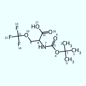 CC(C)(C)OC(=O)NC(COC(F)(F)F)C(=O)O